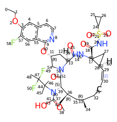 CCOc1cc2ccnc(O[C@@H]3C[C@H]4C(=O)N[C@]5(C(=O)NS(=O)(=O)C6CC6)C[C@H]5/C=C\CC[C@@H](C)C[C@@H](CC)[C@H](N(C(=O)O)C(C)(C)C(C)(F)F)C(=O)N4C3)c2cc1F